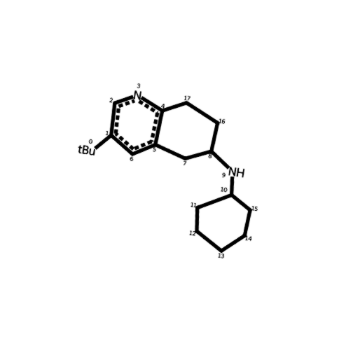 CC(C)(C)c1cnc2c(c1)CC(NC1CCCCC1)CC2